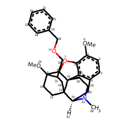 COc1ccc2c3c1OC1C4(OC)CCC5(CC4COCc4ccccc4)[C@@H](C2)N(C)CC[C@]315